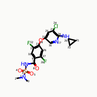 CN(C)S(=O)(=O)NC(=O)c1cc(F)c(Oc2cnc(NC3CC3)c(Cl)c2)cc1F